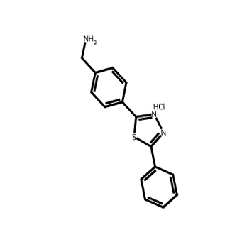 Cl.NCc1ccc(-c2nnc(-c3ccccc3)s2)cc1